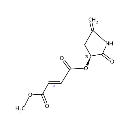 C=C1C[C@H](OC(=O)/C=C/C(=O)OC)C(=O)N1